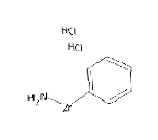 Cl.Cl.[NH2][Zr][c]1ccccc1